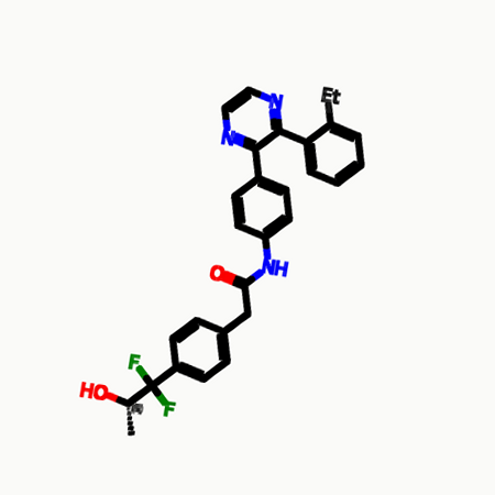 CCc1ccccc1-c1nccnc1-c1ccc(NC(=O)Cc2ccc(C(F)(F)[C@H](C)O)cc2)cc1